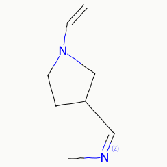 C=CN1CCC(/C=N\C)C1